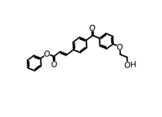 O=C(C=Cc1ccc(C(=O)c2ccc(OCCO)cc2)cc1)Oc1ccccc1